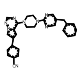 N#Cc1ccc(-c2cc3c(N4CCN(c5ncc(Cc6ccccc6)cn5)CC4)ncnn3c2)cc1